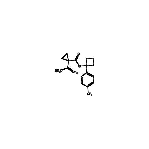 C=C(C(=O)O)C1(C(=O)OC2(c3ccc(C(F)(F)F)cc3)CCC2)CC1